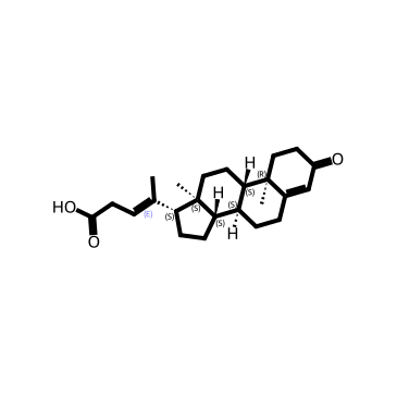 C/C(=C\CC(=O)O)[C@H]1CC[C@H]2[C@@H]3CCC4=CC(=O)CC[C@]4(C)[C@H]3CC[C@]12C